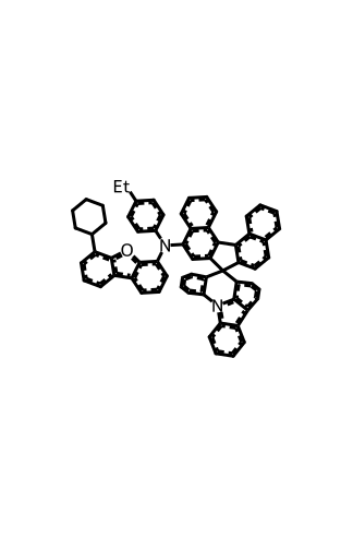 CCc1ccc(N(c2cc3c(c4ccccc24)-c2c(ccc4ccccc24)C32c3ccccc3-n3c4ccccc4c4cccc2c43)c2cccc3c2oc2c(C4CCCCC4)cccc23)cc1